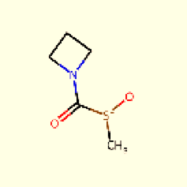 C[S+]([O-])C(=O)N1CCC1